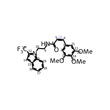 COc1cc(/C=C\C(=O)NCCn2c(C(F)(F)F)cc3ccccc32)cc(OC)c1OC